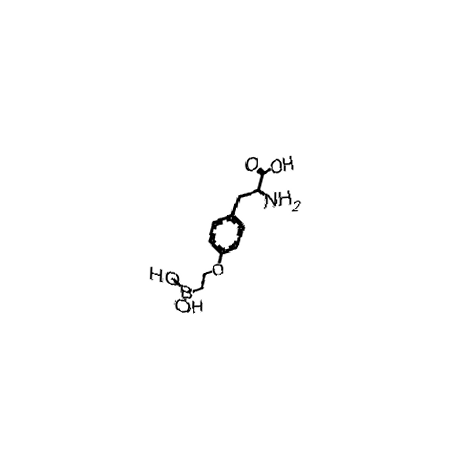 NC(Cc1ccc(OCCB(O)O)cc1)C(=O)O